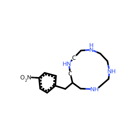 O=[N+]([O-])c1ccc(CC2CNCCNCCNCCNC2)cc1